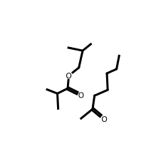 CC(C)COC(=O)C(C)C.CCCCCC(C)=O